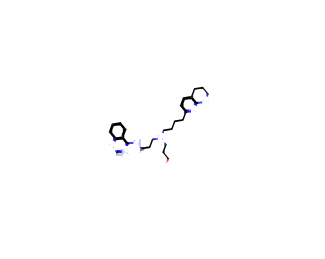 O=C(O)[C@H](CCN(CCCO)CCCCc1ccc2c(n1)NCCC2)Nc1ncnc2ccccc12